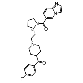 O=C(c1ccc(F)cc1)C1CCN(CC[C@@H]2CCCN2C(=O)c2ccc3nccn3c2)CC1